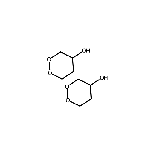 OC1CCOOC1.OC1CCOOC1